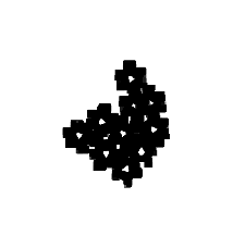 C1=CCCC(C2(c3ccccc3)c3cc(N(c4ccc(-c5ccccc5)cc4)c4ccccc4-c4ccccc4)ccc3-c3c(-n4c5ccccc5c5ccccc54)cccc32)=C1